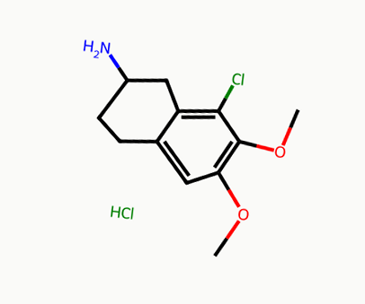 COc1cc2c(c(Cl)c1OC)CC(N)CC2.Cl